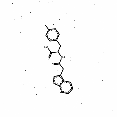 O=C(Cc1csc2ccccc12)NC(Cc1ccc(F)cc1)C(=O)O